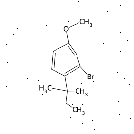 CCC(C)(C)c1ccc(OC)cc1Br